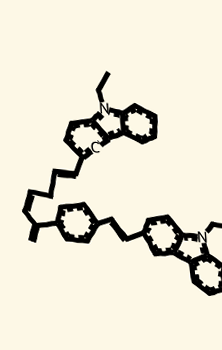 C=C(/C=C\C/C=C/c1ccc2c(c1)c1ccccc1n2CC)c1ccc(/C=C/c2ccc3c(c2)c2ccccc2n3CC)cc1